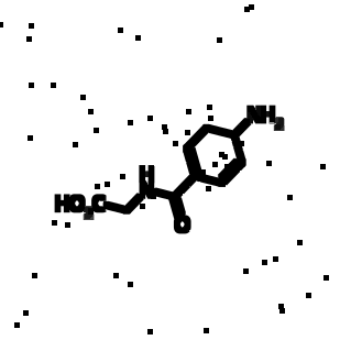 NC1C=CC(C(=O)NCC(=O)O)=CC1